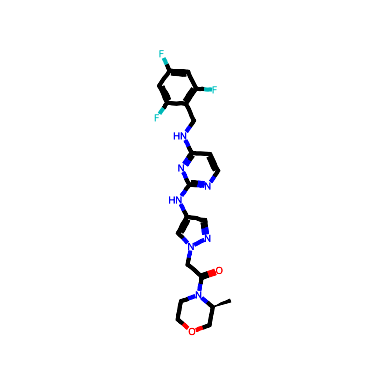 C[C@H]1COCCN1C(=O)Cn1cc(Nc2nccc(NCc3c(F)cc(F)cc3F)n2)cn1